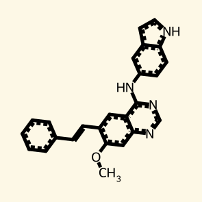 COc1cc2ncnc(Nc3ccc4[nH]ccc4c3)c2cc1/C=C/c1ccccc1